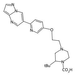 CC(C)(C)C1CN(CCOc2ccc(-c3cnc4ccnn4c3)nc2)CCN1C(=O)O